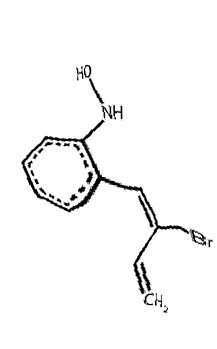 C=C/C(Br)=C\c1ccccc1NO